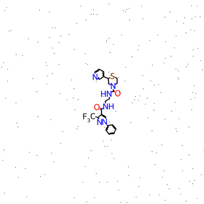 O=C(NCCNC(=O)N1CCSC(c2cccnc2)C1)c1cn(-c2ccccc2)nc1C(F)(F)F